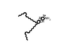 CCCCC/C=C\C/C=C\CCCCCCCCC1(CCCCCCCC/C=C\C/C=C\CCCCC)CCC2(CC1)O[C@H]1C[C@@H](N(C)C)[C@@H](N)C[C@@H]1O2